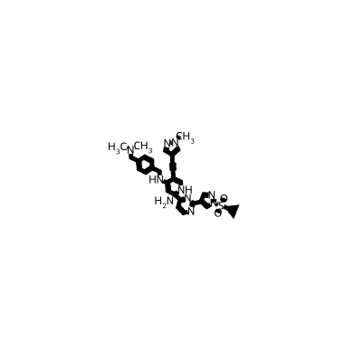 CN(C)Cc1ccc(CNC2=CC(N)(c3ccnc(-c4cnn(S(=O)(=O)C5CC5)c4)n3)NC=C2C#Cc2cnn(C)c2)cc1